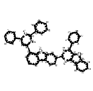 c1ccc(-c2cc(-c3cccc4c3oc3cc(-c5nc(-c6ccccc6)c6oc7ccccc7c6n5)ccc34)nc(-c3ccccc3)n2)cc1